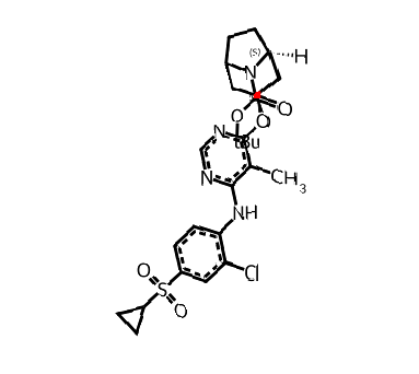 Cc1c(Nc2ccc(S(=O)(=O)C3CC3)cc2Cl)ncnc1O[C@H]1CC2CC[C@@H](C1)N2C(=O)OC(C)(C)C